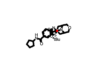 CC(C)(C)OC(=O)N1CC2COCC(C1)N2c1nc2ccc(C(=O)NC3CCCC3)cc2s1